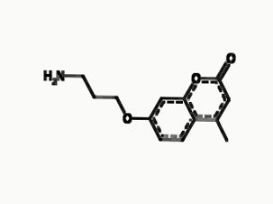 Cc1cc(=O)oc2cc(OCCCN)ccc12